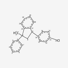 CC1(c2ccccc2)CC(c2ccc(Cl)cc2)c2ccccc21